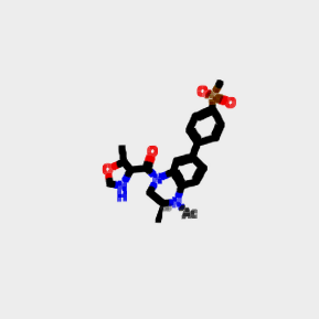 CC(=O)N1c2ccc(-c3ccc(S(C)(=O)=O)cc3)cc2N(C(=O)C2NCOC2C)C[C@@H]1C